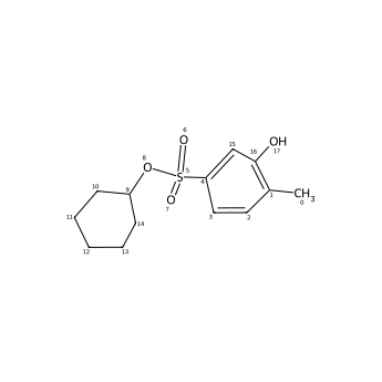 Cc1ccc(S(=O)(=O)OC2CCCCC2)cc1O